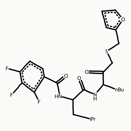 CCCCC(NC(=O)C(CC(C)C)NC(=O)c1ccc(F)c(F)c1F)C(=O)CSCc1ccco1